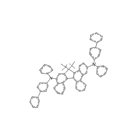 CC(C)(C)C1(C(C)(C)C)c2cc(N(c3ccccc3)c3ccc(-c4ccccc4)cc3)c3ccccc3c2-c2c1c1ccc(N(c3ccccc3)c3ccc(-c4ccccc4)cc3)cc1c1ccccc21